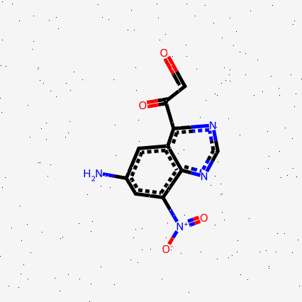 Nc1cc([N+](=O)[O-])c2ncnc(C(=O)C=O)c2c1